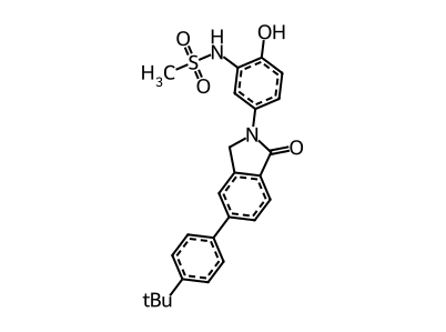 CC(C)(C)c1ccc(-c2ccc3c(c2)CN(c2ccc(O)c(NS(C)(=O)=O)c2)C3=O)cc1